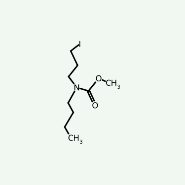 CCCCN(CCCI)C(=O)OC